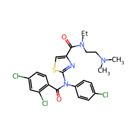 CCN(CCN(C)C)C(=O)c1csc(N(C(=O)c2ccc(Cl)cc2Cl)c2ccc(Cl)cc2)n1